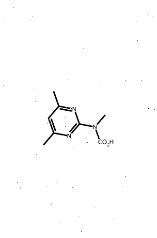 Cc1cc(C)nc(N(C)C(=O)O)n1